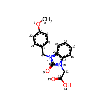 COc1ccc(Cn2c(=O)n(CC(=O)O)c3ccccc32)cc1